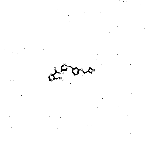 Nc1nccnc1C(=O)Nc1cnn(Cc2cccc(OCC3CNC3)c2)c1